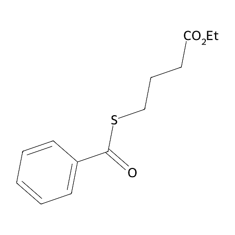 CCOC(=O)CCCSC(=O)c1ccccc1